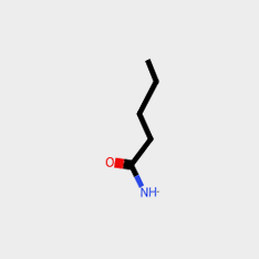 CCCCC([NH])=O